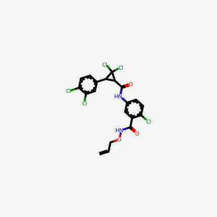 C=CCONC(=O)c1cc(NC(=O)C2C(c3ccc(Cl)c(Cl)c3)C2(Cl)Cl)ccc1Cl